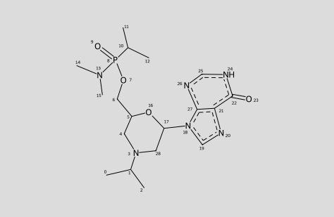 CC(C)N1CC(COP(=O)(C(C)C)N(C)C)OC(n2cnc3c(=O)[nH]cnc32)C1